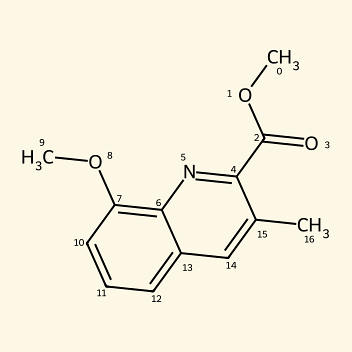 COC(=O)c1nc2c(OC)cccc2cc1C